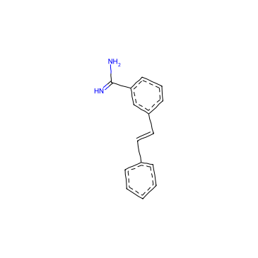 N=C(N)c1cccc(C=Cc2ccccc2)c1